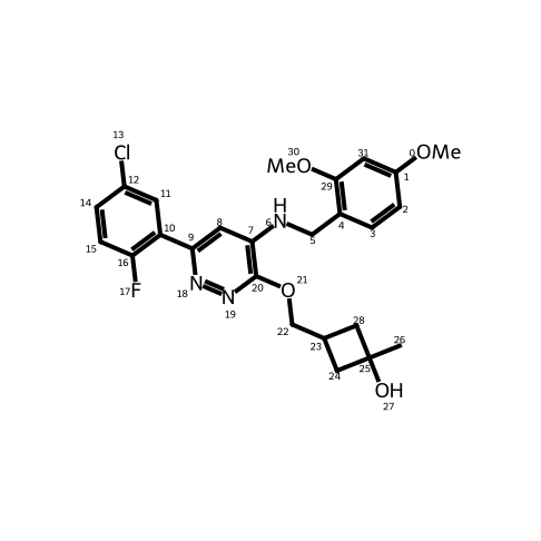 COc1ccc(CNc2cc(-c3cc(Cl)ccc3F)nnc2OCC2CC(C)(O)C2)c(OC)c1